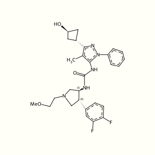 COCCN1C[C@@H](NC(=O)Nc2c(C)c([C@H]3C[C@H](O)C3)nn2-c2ccccc2)[C@H](c2ccc(F)c(F)c2)C1